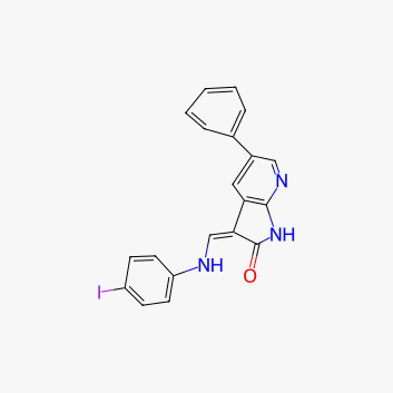 O=C1Nc2ncc(-c3ccccc3)cc2/C1=C/Nc1ccc(I)cc1